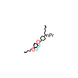 C=CCCCOc1ccc(OCC2CCC(C(CCC)CCCC=C)CC2)c(F)c1F